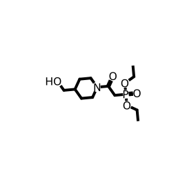 CCOP(=O)(CC(=O)N1CCC(CO)CC1)OCC